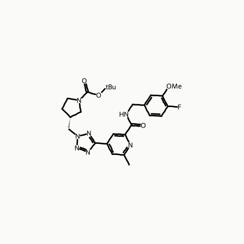 COc1cc(CNC(=O)c2cc(-c3nnn(C[C@@H]4CCN(C(=O)OC(C)(C)C)C4)n3)cc(C)n2)ccc1F